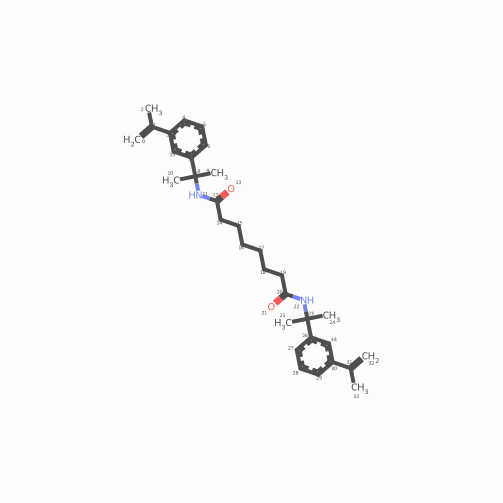 C=C(C)c1cccc(C(C)(C)NC(=O)CCCCCCC(=O)NC(C)(C)c2cccc(C(=C)C)c2)c1